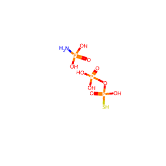 NP(=O)(O)O.O=P(O)(O)OP(=O)(O)S